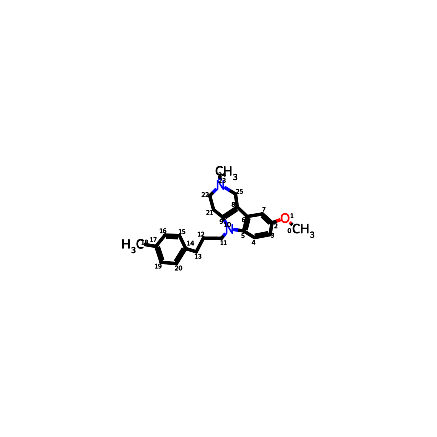 COc1ccc2c(c1)c1c(n2CCCc2ccc(C)cc2)CCN(C)C1